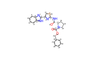 O=C(Nc1nc(-c2nc3ccccc3[nH]2)cs1)[C@@H]1CCCN1C(=O)OCc1ccccc1